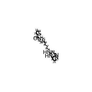 N#CN=C(NCCCCCN1CCN(C(=O)c2cccs2)CC1)Nc1cccnc1